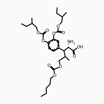 CCCCCOC(=O)OCC(C)C(c1ccc(OC(=O)OCC(C)CC)c(OC(=O)OCC(C)CC)c1)[C@H](N)C(=O)O